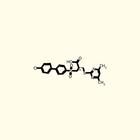 Cc1cc(C)nc(SC[C@H](CS(=O)(=O)c2ccc(-c3ccc(Cl)cc3)cc2)C(=O)O)n1